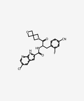 N#Cc1ccc(CC(NC(=O)c2cc3cc(Cl)cnc3[nH]2)C(=O)N2CC3(COC3)C2)c(F)c1